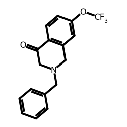 O=C1CN(Cc2ccccc2)Cc2cc(OC(F)(F)F)ccc21